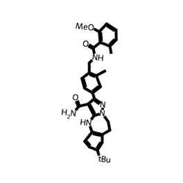 COc1cccc(C)c1C(=O)NCc1ccc(-c2nn3c(c2C(N)=O)Nc2ccc(C(C)(C)C)cc2CC3)cc1C